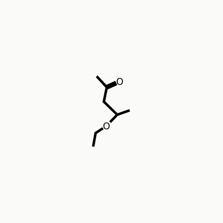 CCOC(C)CC(C)=O